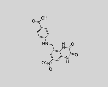 O=C(O)c1ccc(NCc2cc([N+](=O)[O-])cc3[nH]c(=O)c(=O)[nH]c23)cc1